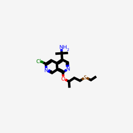 CCSCCC(C)Oc1ncc(C(C)(C)N)c2cc(Cl)ncc12